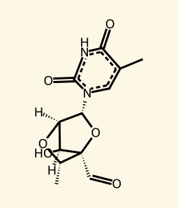 Cc1cn([C@@H]2O[C@@]3(C=O)[C@H](C)O[C@@H]2[C@@H]3O)c(=O)[nH]c1=O